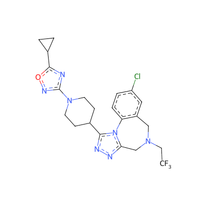 FC(F)(F)CN1Cc2cc(Cl)ccc2-n2c(nnc2C2CCN(c3noc(C4CC4)n3)CC2)C1